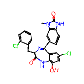 Cn1c(=O)[nH]c2ccc(C3=NC(Cc4ccccc4Cl)C(=O)Nc4c(O)cc(Cl)cc43)cc21